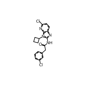 O=C(Cc1cccc(Cl)c1)Nc1nc2ccc(Cl)nc2n1C1CCC1